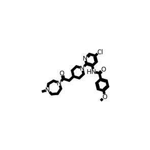 COc1ccc(C(=O)Nc2cc(Cl)cnc2N2CCC(CC(=O)N3CCCN(C)CC3)CC2)cc1